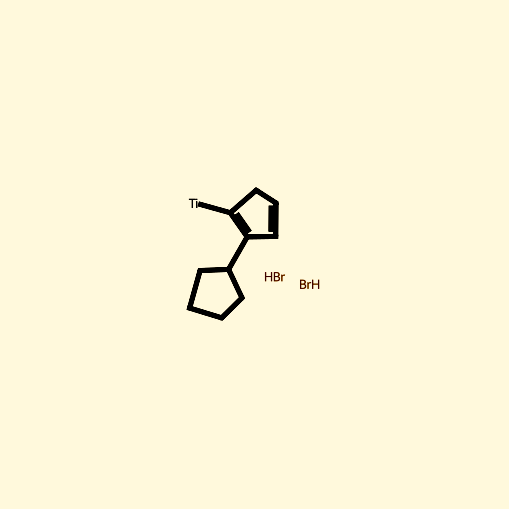 Br.Br.[Ti][C]1=C(C2CCCC2)C=CC1